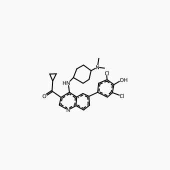 CN(C)C1CCC(Nc2c(C(=O)C3CC3)cnc3ccc(-c4cc(Cl)c(O)c(Cl)c4)cc23)CC1